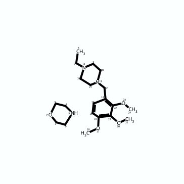 C1COCCN1.CCN1CCN(Cc2ccc(OC)c(OC)c2OC)CC1